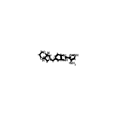 Nc1c[nH]nc1-c1nc2ccc(CN3C[C@H]4OCCO[C@@H]4C3)cc2[nH]1